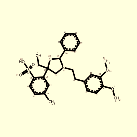 COc1ccc(CCN2CC(CO)(c3cc(C)ccc3S(=O)(=O)O)OC2c2ccccc2)cc1OC